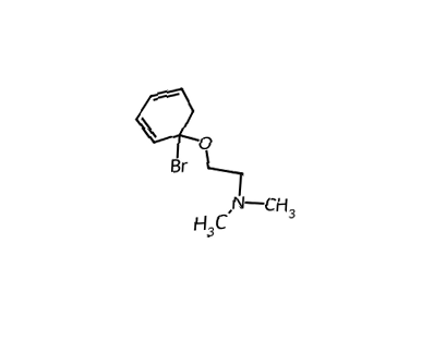 CN(C)CCOC1(Br)C=CC=CC1